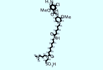 COc1cc(N)c(Cl)cc1C(=O)N[C@@H]1CCN(CCCCCC(=O)NCCCCCCCC(=O)N(CCCN(C)C)CCS(=O)(=O)O)C[C@@H]1OC